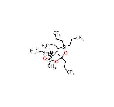 C[SiH2]O[Si](C)(C)O[Si](C)(CCC(F)(F)F)O[Si](CCC(F)(F)F)(CCC(F)(F)F)CCC(F)(F)F